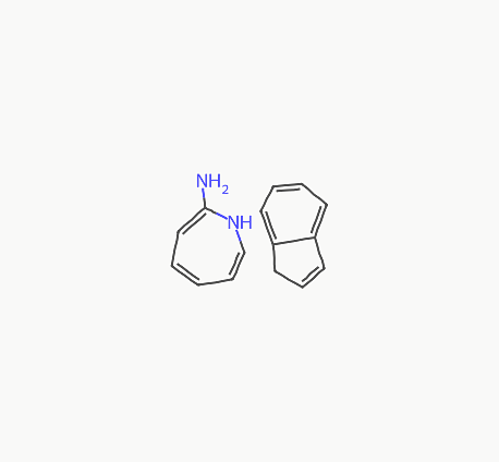 C1=Cc2ccccc2C1.NC1=CC=CC=CN1